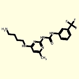 Cc1cc(NCCCCN)nc(NC(=O)Nc2cccc(C(F)(F)F)c2)n1